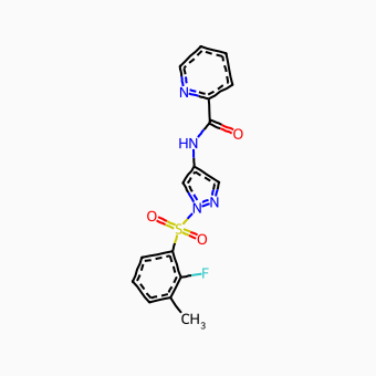 Cc1cccc(S(=O)(=O)n2cc(NC(=O)c3ccccn3)cn2)c1F